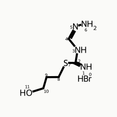 Br.N=C(N/C=N\N)SCCCO